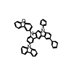 c1ccc(-c2ccc3c(c2)c2cc4c5cc(-n6c7ccccc7c7ccccc76)ccc5n(-c5ccc6oc7ccccc7c6c5)c4cc2n3-c2ccccc2)cc1